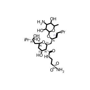 CC(C)/C=C/[C@@H](C[C@@H]1O[C@](O)(C[C@@H](O)C(C)C)C[C@H](O)[C@H]1C(=O)NCCS(N)(=O)=O)OC1OC(C)C(O)C(N)C1O